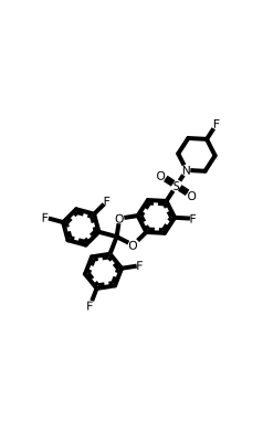 O=S(=O)(c1cc2c(cc1F)OC(c1ccc(F)cc1F)(c1ccc(F)cc1F)O2)N1CCC(F)CC1